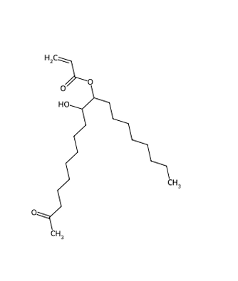 C=CC(=O)OC(CCCCCCCC)C(O)CCCCCCCC(C)=O